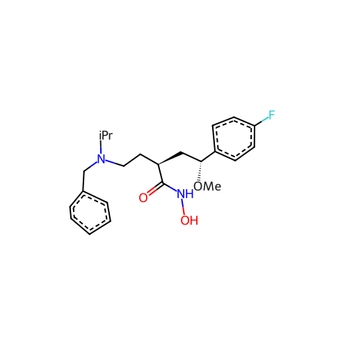 CO[C@H](C[C@H](CCN(Cc1ccccc1)C(C)C)C(=O)NO)c1ccc(F)cc1